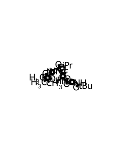 Cc1c(C)n(C)c(=O)n(-c2ccc(C[C@H](NC(=O)c3cc(F)c(NS(=O)(=O)c4ccc(NC(=O)C(C)(C)C)cc4)cc3F)C(=O)OC(C)C)cn2)c1=O